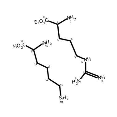 CCOC(=O)C(N)CCCNC(=N)N.NCCCCC(N)C(=O)O